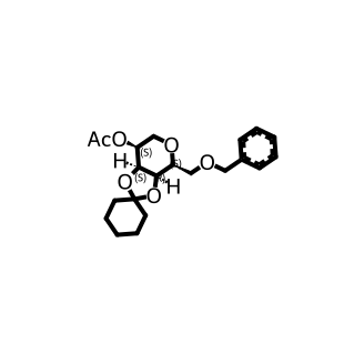 CC(=O)O[C@H]1CO[C@@H](COCc2ccccc2)[C@H]2OC3(CCCCC3)O[C@H]21